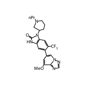 CCCN1CCCC(n2c(=O)[nH]c3cc(-c4cc(OC)c5ncnn5c4)c(C(F)(F)F)cc32)C1